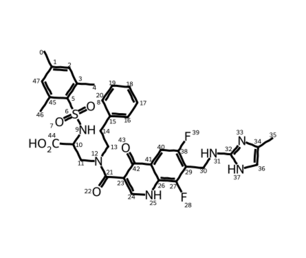 Cc1cc(C)c(S(=O)(=O)NC(CN(CCc2ccccc2)C(=O)c2c[nH]c3c(F)c(CNc4nc(C)c[nH]4)c(F)cc3c2=O)C(=O)O)c(C)c1